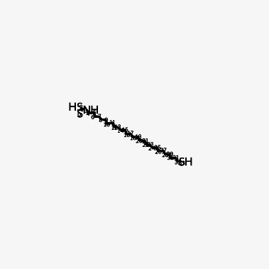 S=C(S)NCCCCCCCCCCCCCCCCCCCCCCCCCCCCCS